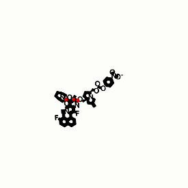 C#Cc1c(F)ccc2cccc(-c3ncc4c(N5CC6CCC(C5)N6C(=O)OC(C)(C)C)nc(OC[C@@]56CC[C@@H](COC(=O)Oc7ccc([N+](=O)[O-])cc7)N5CC(=C)C6)nc4c3F)c12